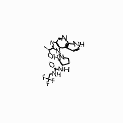 C[C@H](O)c1nc2cnc3[nH]ccc3c2n1N1CC[C@H](NC(=O)NCC(F)(F)F)C1